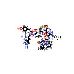 CC(C)C[C@H](NC(=O)[C@H](Cc1ccc(O)cc1)NC(=O)[C@@H](N)Cc1c[nH]cn1)C(=O)N[C@@H](CS)C(=O)N[C@H](C(=O)N[C@@H](CC(=O)O)C(=O)N[C@H](C(=O)N[C@@H](C)C(=O)N1CCC[C@H]1C(=O)N1CCC[C@H]1C(=O)O)C(C)C)[C@@H](C)O